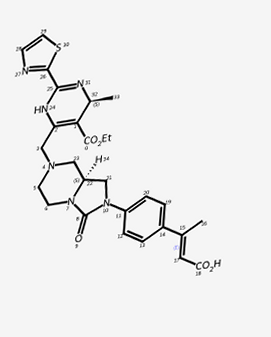 CCOC(=O)C1=C(CN2CCN3C(=O)N(c4ccc(/C(C)=C/C(=O)O)cc4)C[C@@H]3C2)NC(c2nccs2)=N[C@H]1C